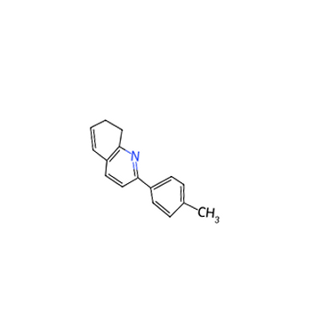 Cc1ccc(-c2ccc3c(n2)CCC=C3)cc1